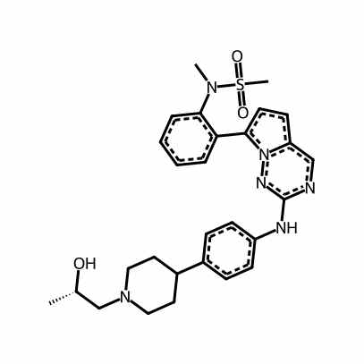 C[C@H](O)CN1CCC(c2ccc(Nc3ncc4ccc(-c5ccccc5N(C)S(C)(=O)=O)n4n3)cc2)CC1